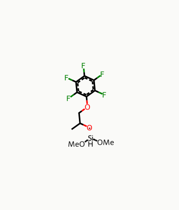 CO[SiH](OC)OC(C)COc1c(F)c(F)c(F)c(F)c1F